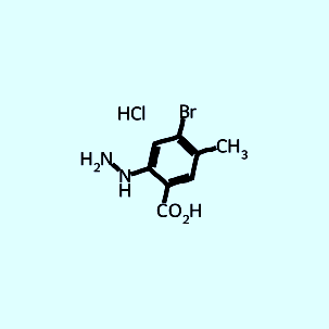 Cc1cc(C(=O)O)c(NN)cc1Br.Cl